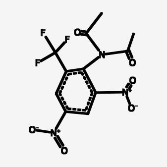 CC(=O)N(C(C)=O)c1c([N+](=O)[O-])cc([N+](=O)[O-])cc1C(F)(F)F